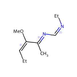 CC\C=C(OC)/C(C)=N/C=N\CC